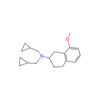 COc1cccc2c1CC(N(CC1CC1)CC1CC1)CC2